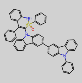 O=[SH]1(c2ccccc2)Nc2ccccc2C(c2ccccc2)=C1n1c2ccccc2c2cc(-c3ccc4c(c3)c3ccccc3n4-c3ccccc3)ccc21